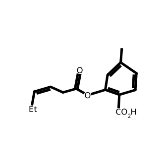 CC/C=C\CC(=O)Oc1cc(C)ccc1C(=O)O